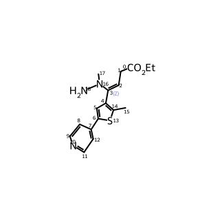 CCOC(=O)C/C=C(/c1cc(-c2ccncc2)sc1C)N(C)N